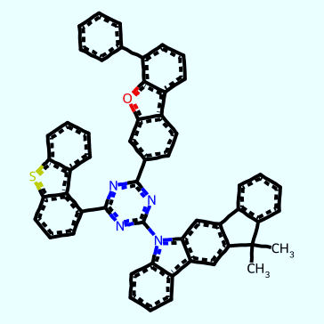 CC1(C)c2ccccc2-c2cc3c(cc21)c1ccccc1n3-c1nc(-c2ccc3c(c2)oc2c(-c4ccccc4)cccc23)nc(-c2cccc3sc4ccccc4c23)n1